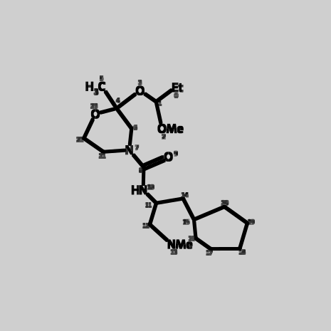 CCC(OC)OC1(C)CN(C(=O)NC(CNC)CC2CCCCC2)CCO1